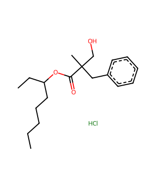 CCCCCC(CC)OC(=O)C(C)(CO)Cc1ccccc1.Cl